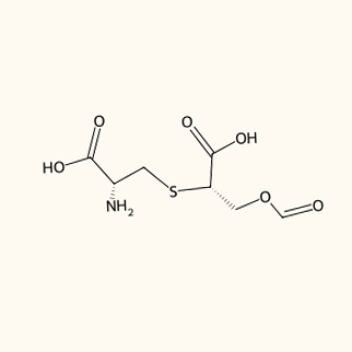 N[C@@H](CS[C@@H](COC=O)C(=O)O)C(=O)O